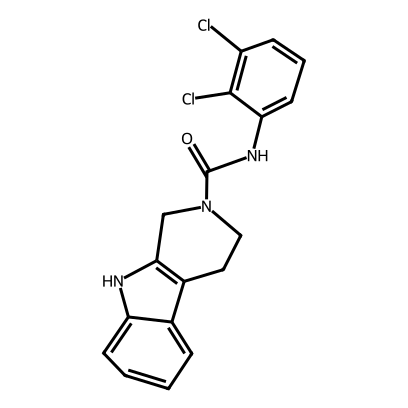 O=C(Nc1cccc(Cl)c1Cl)N1CCc2c([nH]c3ccccc23)C1